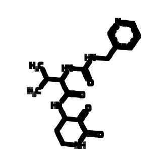 CC(C)C(NC(=O)NCc1cccnc1)C(=O)NC1CCNC(=O)C1=O